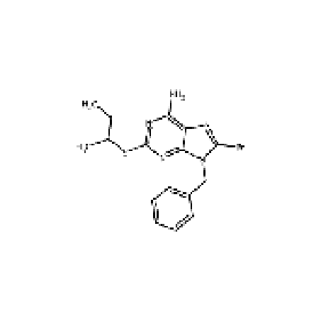 CCC(C)Sc1nc(N)c2nc(Br)n(Cc3ccccc3)c2n1